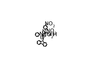 O=C(O)[C@H](CS)N(CN(C(=O)OCC1c2ccccc2-c2ccccc21)c1ccccc1)c1ccc([N+](=O)[O-])cc1[N+](=O)[O-]